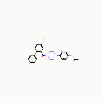 CC(=O)Nc1ccc(N2CCN(C(=O)c3cc(S(C)(=O)=O)ccc3-c3ccc(F)cc3)CC2)c(F)c1